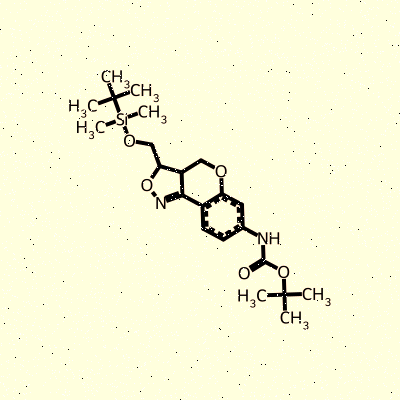 CC(C)(C)OC(=O)Nc1ccc2c(c1)OCC1C2=NOC1CO[Si](C)(C)C(C)(C)C